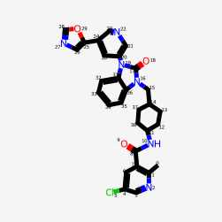 Cc1ncc(Cl)cc1C(=O)NC1CCC(Cn2c(=O)n(-c3cncc(-c4cnco4)c3)c3ccccc32)CC1